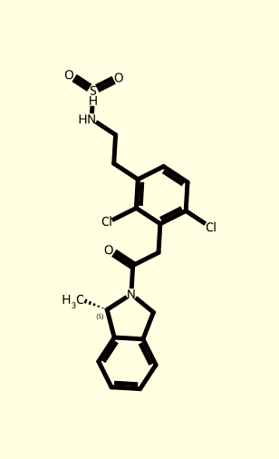 C[C@H]1c2ccccc2CN1C(=O)Cc1c(Cl)ccc(CCN[SH](=O)=O)c1Cl